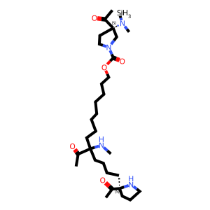 CNC(CCCCCCCCOC(=O)N1CC[C@](C(C)=O)(N(C)[SiH3])C1)(CCCC[C@@]1(C(C)=O)CCCN1)C(C)=O